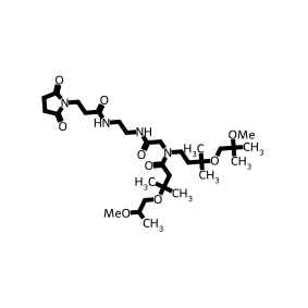 COC(C)COC(C)(C)CC(=O)N(CCC(C)(C)OCC(C)(C)OC)CC(=O)NCCNC(=O)CCN1C(=O)CCC1=O